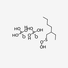 CCCCC(CC)CSOO.O=P(O)(O)O.O=P(O)(O)O